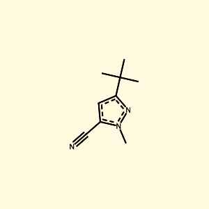 Cn1nc(C(C)(C)C)cc1C#N